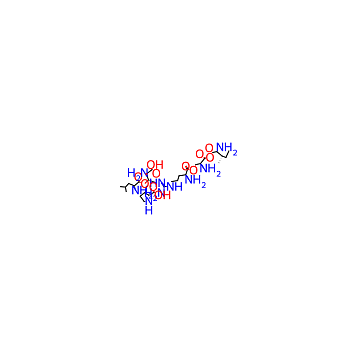 CC(C)C[C@H](N)C(=O)O[C@H](C)[C@H](N)C(=O)O.CC[C@H](C)[C@H](N)C(=O)OC(=O)[C@@H](N)COC(=O)[C@@H](N)CCCNC(=N)N.O=C(O)[C@@H]1CCCN1